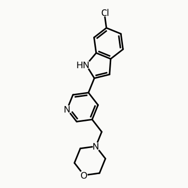 Clc1ccc2cc(-c3cncc(CN4CCOCC4)c3)[nH]c2c1